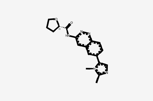 Cc1ncc(-c2ccc3nnc(NC(=O)[C@@H]4CCCO4)cc3c2)n1C